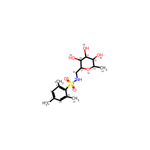 Cc1cc(C)c(S(=O)(=O)NCC2OC(C)C(O)C(O)C2O)c(C)c1